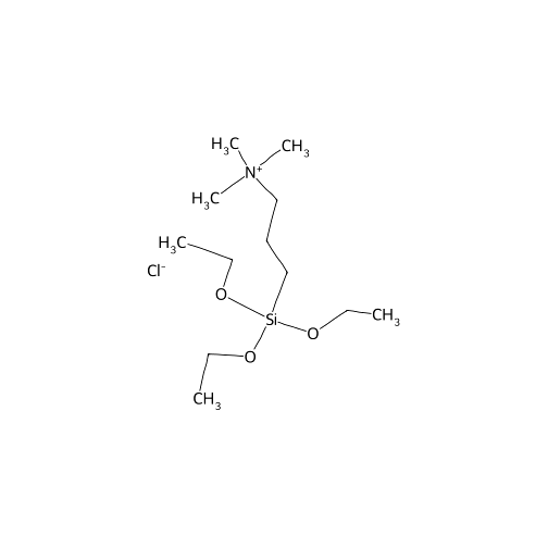 CCO[Si](CCC[N+](C)(C)C)(OCC)OCC.[Cl-]